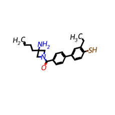 C=CCCC1(N)CN(C(=O)c2ccc(-c3ccc(S)c(CC)c3)cc2)C1